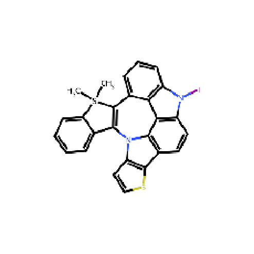 C[Si]1(C)c2ccccc2-c2c1c1cccc3c1c1c(ccc4c5sccc5n2c41)n3I